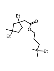 CCC1(C)CCC(CC)(CC(=O)OCCCS(C)(C)CC)C1